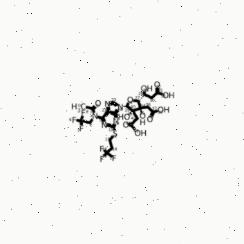 CC(=O)N(CC(F)(F)F)c1nc(SCCC(F)(F)F)nc2c1ncn2[C@@H]1O[C@H](C(O)CC(=O)O)[C@](O)(CC(=O)O)[C@]1(O)CC(=O)O